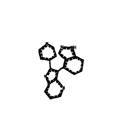 c1cc(-c2c(-c3ccncc3)nn3cccnc23)c2cn[nH]c2c1